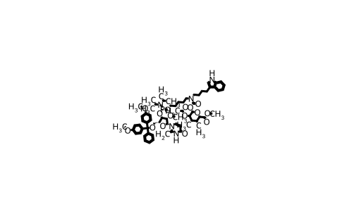 C=C1NC(=O)C=CN1[C@@H]1O[C@H](COC(c2ccccc2)(c2ccc(OC)cc2)c2ccc(OC)cc2)C(OP(OCCCCCN(CCCCc2c[nH]c3ccccc23)C(=O)OC2OC(C(=O)OC)C(C)C(C)C2OC(C)=O)N(C(C)C)C(C)C)[C@@H]1OC